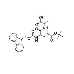 CC(NC(=O)C(CNC(=O)OC(C)(C)C)NC(=O)OCC1c2ccccc2-c2ccccc21)C(=O)O